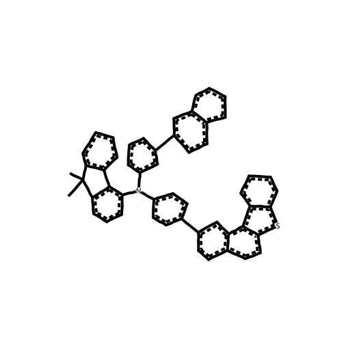 CC1(C)c2ccccc2-c2c(N(c3ccc(-c4ccc5ccc6sc7ccccc7c6c5c4)cc3)c3cccc(-c4ccc5ccccc5c4)c3)cccc21